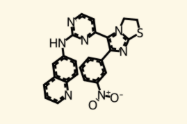 O=[N+]([O-])c1cccc(-c2nc3n(c2-c2ccnc(Nc4ccc5ncccc5c4)n2)CCS3)c1